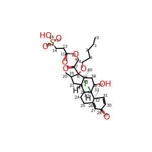 CCCCCO[C@]1(C(=O)COC(=O)CCS(=O)(=O)O)C(C)C[C@H]2[C@@H]3CCC4=CC(=O)C=C[C@]4(C)[C@@]3(F)C(O)C[C@@]21C